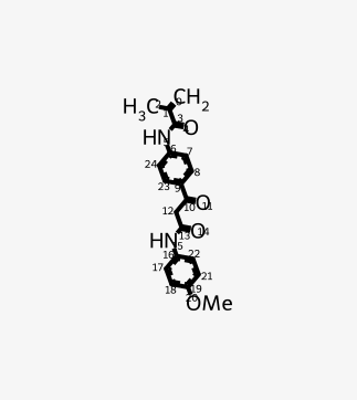 C=C(C)C(=O)Nc1ccc(C(=O)CC(=O)Nc2ccc(OC)cc2)cc1